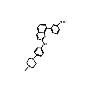 CC(=O)Nc1cccc(-c2cccc3cnc(Nc4ccc(N5CCN(C)CC5)cc4)nc23)c1